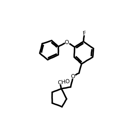 O=CC1(COCc2ccc(F)c(Oc3ccccc3)c2)CCCC1